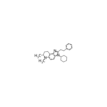 CC1CCc2c(ccc3c2nc(CCc2ccccc2)n3C2CCCCC2)N1C